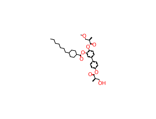 C=C(CO)C(=O)Oc1ccc(-c2ccc(OC(=O)C(=C)COC)c(OC(=O)C3CCC(CCCCCCC)CC3)c2)cc1